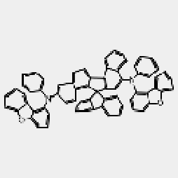 c1ccc(N(c2ccc3c4c(ccc3c2)-c2c(cc(N(c3ccccc3)c3cccc5oc6ccccc6c35)c3ccccc23)C42c3ccccc3-c3ccccc32)c2cccc3oc4ccccc4c23)cc1